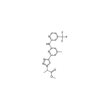 COC(=O)C(C)n1cc(-c2cc(C)cc(Nc3cc(C(F)(F)F)ccn3)n2)nn1